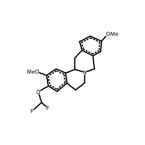 COc1[c]c2c(cc1)CC1c3cc(OC)c(OC(F)F)cc3CCN1C2